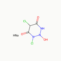 O=C1NN(O)N(Cl)C(=O)C1Cl.[NaH]